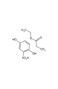 CCOC(=O)CC.O=S(=O)(O)c1cc(O)ccc1O